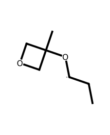 CC[CH]OC1(C)COC1